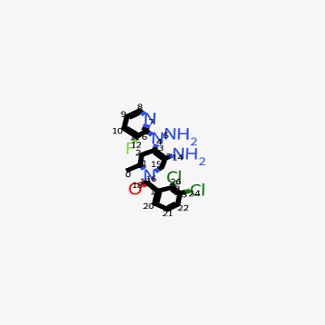 CC1CC(N(N)c2ncccc2F)=C(N)CN1C(=O)c1cccc(Cl)c1Cl